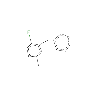 [CH2]c1ccc(F)c(Cc2ccccc2)c1